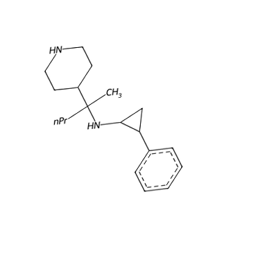 CCCC(C)(NC1CC1c1ccccc1)C1CCNCC1